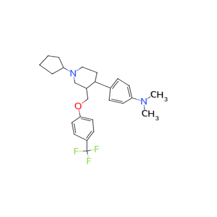 CN(C)c1ccc(C2CCN(C3CCCC3)CC2COc2ccc(C(F)(F)F)cc2)cc1